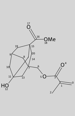 C=C(C)C(=O)OCC12CC3CC(O)(C1)CC(C(=O)OC)(C3)C2